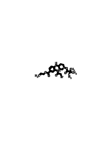 C=CCOC(=O)c1ccc(NC2CCN(OC(=O)C(C)(C)C)CC2)c(NC(=O)CBr)c1